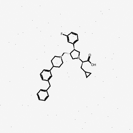 O=C(O)[C@@H](CC1CC1)N1C[C@H](CN2CCC(c3cccc(Cc4ccccc4)c3)CC2)[C@@H](c2cccc(F)c2)C1